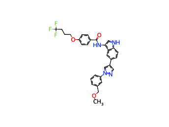 COCc1cccc(-n2cc(-c3ccc4[nH]cc(NC(=O)c5ccc(OCCCC(F)(F)F)cc5)c4c3)cn2)c1